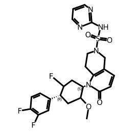 COC1C[C@H](c2ccc(F)c(F)c2)C(F)C[C@@H]1n1c2c(ccc1=O)CN(S(=O)(=O)Nc1ncccn1)CC2